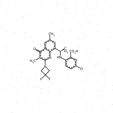 Cc1cc([C@@H](C)Nc2ccc(Cl)nc2C(=O)O)c2nc(N3CC(F)(F)C3)n(C)c(=O)c2c1